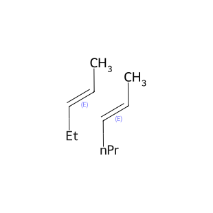 C/C=C/CC.C/C=C/CCC